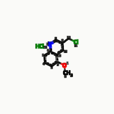 COc1cccc2ncc(CCl)cc12.Cl